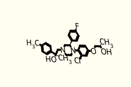 Cc1ccc([C@](C)(O)CN2CCN(c3ccc(OC[C@H](C)O)cc3Cl)[C@H](c3ccc(F)cc3)C2)cc1